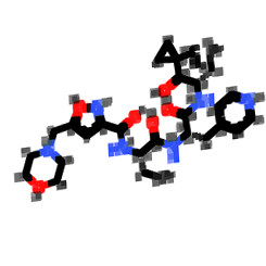 CC(C)C[C@H](NC(=O)c1cc(CN2CCOCC2)on1)C(=O)N[C@@H](Cc1ccncc1)C(=O)N[C@@H](CC(C)C)C(=O)C1(C)CC1